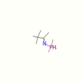 C/C(=N\[PH](C)(C)C)C(C)(C)C